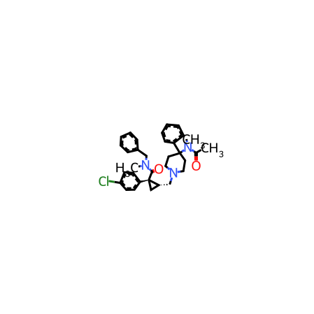 CC(=O)N(C)C1(c2ccccc2)CCN(C[C@@H]2C[C@@]2(C(=O)N(C)Cc2ccccc2)c2ccc(Cl)cc2)CC1